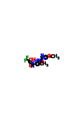 CCOc1ccn2c(C(=O)Nc3cc(-c4noc(C[C@H](O)C(F)F)n4)ccc3C)cnc2c1